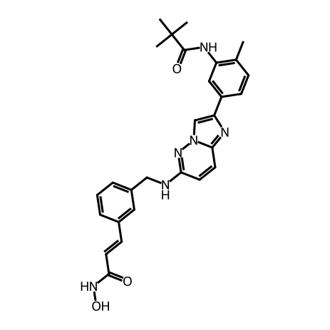 Cc1ccc(-c2cn3nc(NCc4cccc(C=CC(=O)NO)c4)ccc3n2)cc1NC(=O)C(C)(C)C